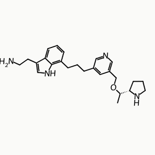 CC(OCc1cncc(CCCc2cccc3c(CCN)c[nH]c23)c1)[C@@H]1CCCN1